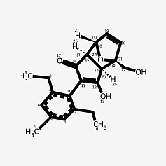 CCc1cc(C)cc(CC)c1C1=C(O)[C@H]2[C@@H](C1=O)[C@@H]1C=C[C@@]2(CO)O1